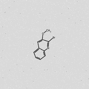 COc1cc2ccccc2nc1Br